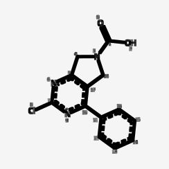 O=C(O)N1Cc2nc(Cl)nc(-c3ccccc3)c2C1